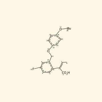 CC=C(C(=O)O)c1ccc(F)cc1COc1ccc(OC(C)CC)cc1